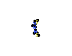 c1ccc2c(c1)sc1c(-c3ccc4c5ccc(-c6ccc(-n7c8ccccc8c8c9sc%10ccccc%10c9ccc87)cc6)nc5c5ccccc5c4n3)cccc12